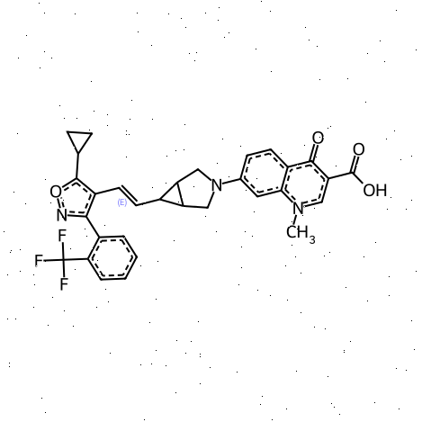 Cn1cc(C(=O)O)c(=O)c2ccc(N3CC4C(/C=C/c5c(-c6ccccc6C(F)(F)F)noc5C5CC5)C4C3)cc21